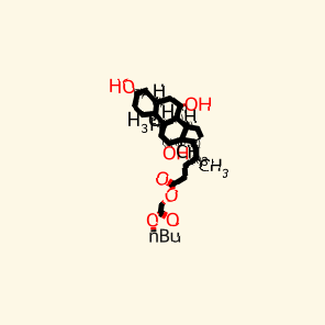 CCCCOC(=O)COC(=O)CC[C@@H](C)[C@H]1CC[C@H]2[C@@H]3[C@H](O)C[C@@H]4C[C@H](O)CC[C@]4(C)[C@H]3C[C@H](O)[C@]12C